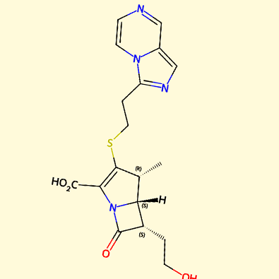 C[C@H]1C(SCCc2ncc3cnccn23)=C(C(=O)O)N2C(=O)[C@@H](CCO)[C@@H]12